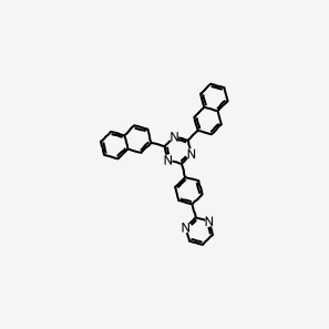 c1cnc(-c2ccc(-c3nc(-c4ccc5ccccc5c4)nc(-c4ccc5ccccc5c4)n3)cc2)nc1